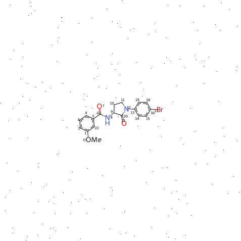 COc1cccc(C(=O)NC2CCN(c3ccc(Br)cc3)C2=O)c1